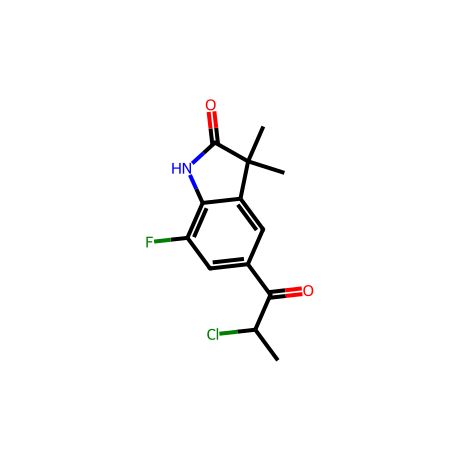 CC(Cl)C(=O)c1cc(F)c2c(c1)C(C)(C)C(=O)N2